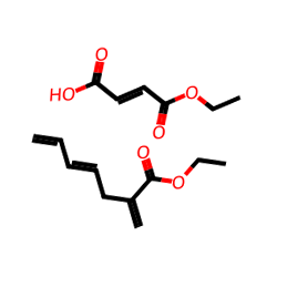 C=CC=CCC(=C)C(=O)OCC.CCOC(=O)C=CC(=O)O